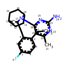 CCc1ccc(F)cc1C1CC2CCC(CC2)N1c1cc(C)nc(N)n1